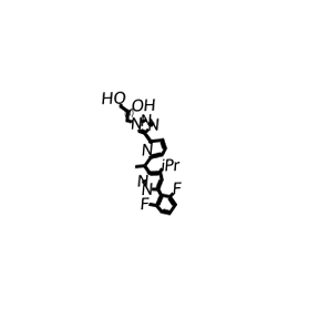 CC(C)c1cc(-c2c(F)cccc2F)nnc1C(C)c1cccc(-c2cn(C[C@@H](O)CO)nn2)n1